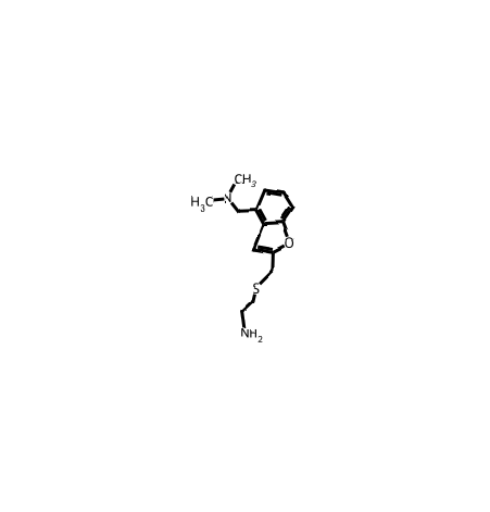 CN(C)Cc1cccc2oc(CSCCN)cc12